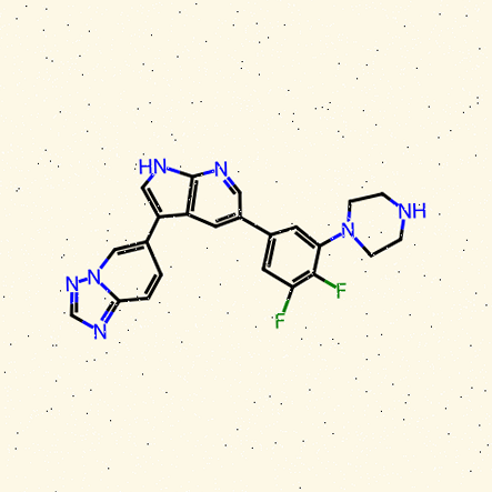 Fc1cc(-c2cnc3[nH]cc(-c4ccc5ncnn5c4)c3c2)cc(N2CCNCC2)c1F